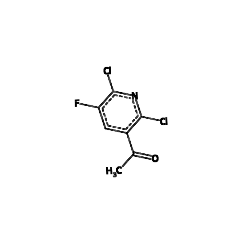 CC(=O)c1cc(F)c(Cl)nc1Cl